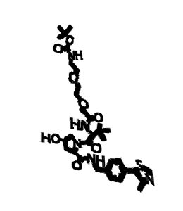 Cc1ncsc1-c1ccc(CNC(=O)[C@H]2C[C@@H](O)CN2C(=O)[C@H](NC(=O)COCCOCCNC(=O)OC(C)(C)C)C(C)(C)C)cc1